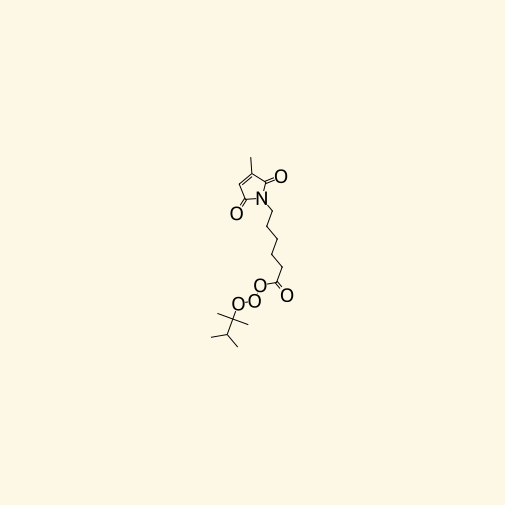 CC1=CC(=O)N(CCCCCC(=O)OOOC(C)(C)C(C)C)C1=O